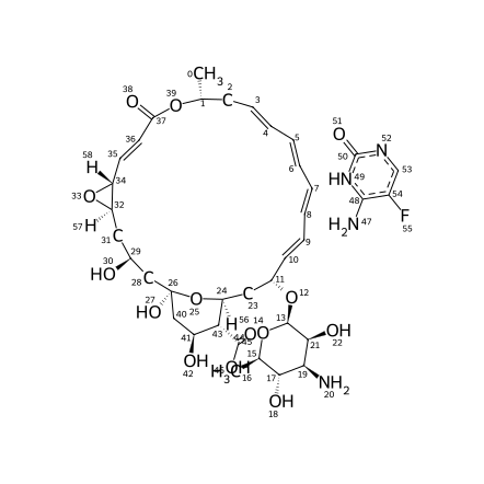 C[C@@H]1C/C=C/C=C/C=C/C=C/[C@H](O[C@@H]2O[C@H](C)[C@@H](O)[C@H](N)[C@@H]2O)C[C@@H]2O[C@](O)(C[C@@H](O)C[C@H]3O[C@@H]3/C=C/C(=O)O1)C[C@H](O)[C@H]2C(=O)O.Nc1[nH]c(=O)ncc1F